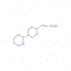 O=C/C=C/c1ccc(-c2ccccn2)cc1